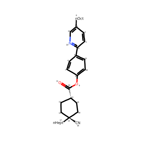 CCCCCCCCc1ccc(-c2ccc(OC(=O)[C@H]3CC[C@@](C#N)(CCCCCCC)CC3)cc2)nc1